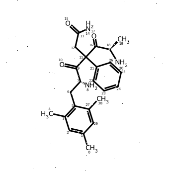 Cc1cc(C)c(C[C@@H](N)C(=O)C(CC(N)=O)(C(=O)[C@@H](C)N)c2ccccc2)c(C)c1